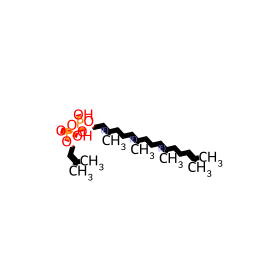 CC(C)=CCC/C(C)=C/CC/C(C)=C/CC/C(C)=C/COP(=O)(O)OP(=O)(O)OCC=C(C)C